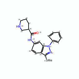 CSc1nn(-c2ccccc2)c2cc(NC(=O)C3CCCNC3)ccc12